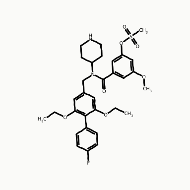 CCOc1cc(CN(C(=O)c2cc(OC)cc(OS(C)(=O)=O)c2)C2CCNCC2)cc(OCC)c1-c1ccc(F)cc1